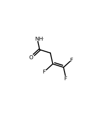 [NH]C(=O)CC(F)=C(F)F